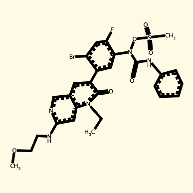 CCn1c(=O)c(-c2cc(N(OS(C)(=O)=O)C(=O)Nc3ccccc3)c(F)cc2Br)cc2cnc(NCCOC)cc21